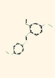 C=Cc1cc(OC)ccc1/C=N/c1ccc(OC)cc1